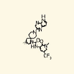 C[C@H]1CN(C(=O)Nc2cc(C(F)(F)F)cn(C)c2=O)C2(CCN(c3cnc4[nH]ccc4n3)CC2)C1